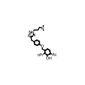 CCCc1c(COc2ccc(Cc3nnn(CCCN(C)C)n3)cc2)ccc(C(C)=O)c1O